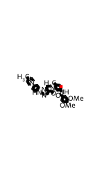 COc1cc(OC)cc(C(=O)Nc2ccc(C)c(N3CCc4nc(Nc5ccc(N6CCN(C)CC6)cc5)ncc4C3=O)c2)c1